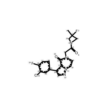 CC1(F)CN(C(=O)Cn2ccn3ncc(-c4ccc(F)c(Cl)c4)c3c2=O)C1